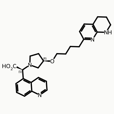 O=C(O)[C@H](c1cccc2ncccc12)N1CC[C@@H](OCCCCc2ccc3c(n2)NCCC3)C1